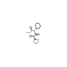 CCC(=O)[C@H](NC(=O)N1CCCC1)c1ccccc1